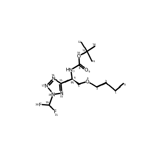 CCCCOC[C@H](NC(=O)OC(C)(C)C)c1nnn(C(F)F)n1